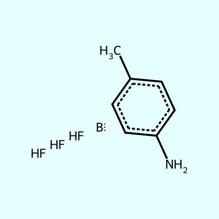 Cc1ccc(N)cc1.F.F.F.[B]